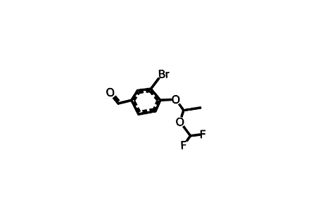 CC(Oc1ccc(C=O)cc1Br)OC(F)F